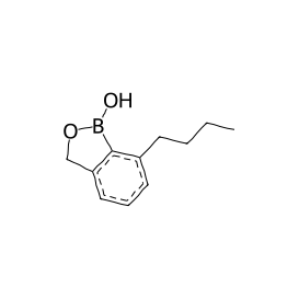 CCCCc1cccc2c1B(O)OC2